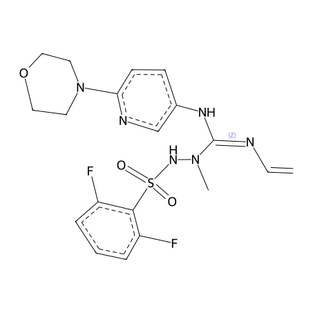 C=C/N=C(/Nc1ccc(N2CCOCC2)nc1)N(C)NS(=O)(=O)c1c(F)cccc1F